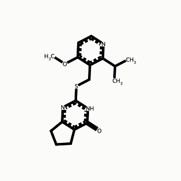 COc1ccnc(C(C)C)c1CSc1nc2c(c(=O)[nH]1)CCC2